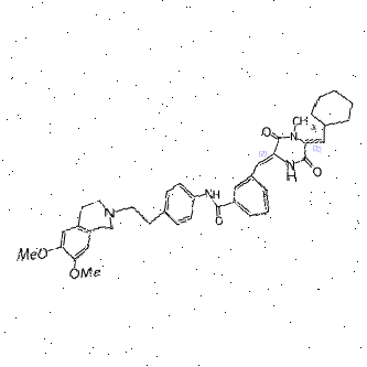 COc1cc2c(cc1OC)CN(CCc1ccc(NC(=O)c3cccc(/C=c4\[nH]c(=O)/c(=C/C5CCCCC5)n(C)c4=O)c3)cc1)CC2